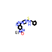 CCn1c(=O)n(C)c2cc3c(N4CCN(C(=S)NCc5ccccc5)CC4)ncnc3cc21